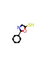 Sc1cnc(-c2ccccc2)o1